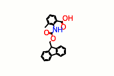 Cc1cccc(C(=O)O)c1NC(=O)OCC1c2ccccc2-c2ccccc21